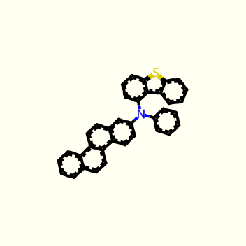 c1ccc(N(c2ccc3c(ccc4c5ccccc5ccc34)c2)c2cccc3sc4ccccc4c23)cc1